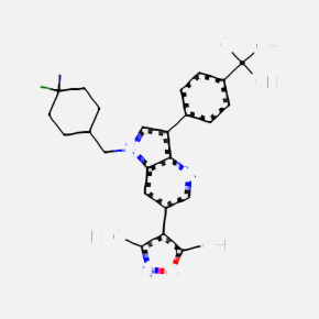 Cc1noc(C)c1-c1cnc2c(-c3ccc(C(C)(C)C)cc3)cn(CC3CCC(F)(I)CC3)c2c1